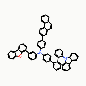 c1cc(-c2cccc3c2oc2ccccc23)cc(N(c2ccc(-c3ccc4c(ccc5ccccc54)c3)cc2)c2ccc(-c3ccccc3-c3ccccc3-n3c4ccccc4c4ccccc43)cc2)c1